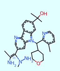 C/C(N)=C(\c1cnc2c3ccc(C(C)(C)O)cc3n(C(c3ncccc3C)C3CCOCC3)c2c1)N(C)N